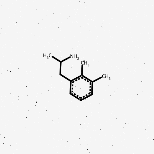 Cc1cccc(CC(C)N)c1C